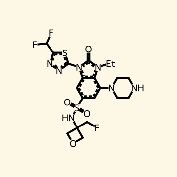 CCn1c(=O)n(-c2nnc(C(F)F)s2)c2cc(S(=O)(=O)NC3(CF)COC3)cc(N3CCNCC3)c21